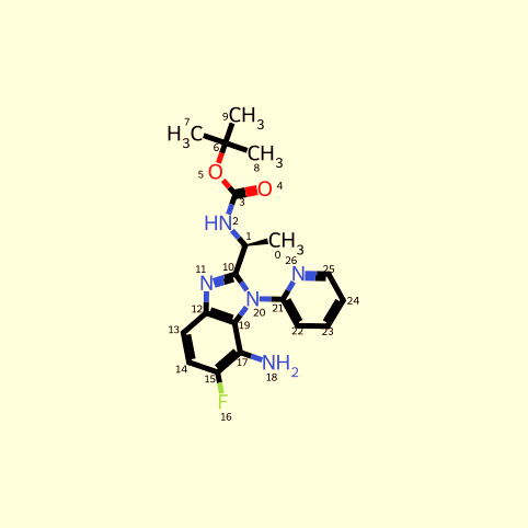 C[C@H](NC(=O)OC(C)(C)C)c1nc2ccc(F)c(N)c2n1-c1ccccn1